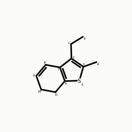 CCc1c(C)sc2c1C=CCC2